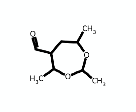 CC1CC(C=O)C(C)OC(C)O1